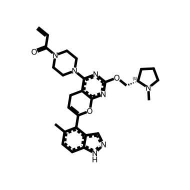 C=CC(=O)N1CCN(c2nc(OC[C@@H]3CCCN3C)nc3c2CC=C(c2c(C)ccc4[nH]ncc24)O3)CC1